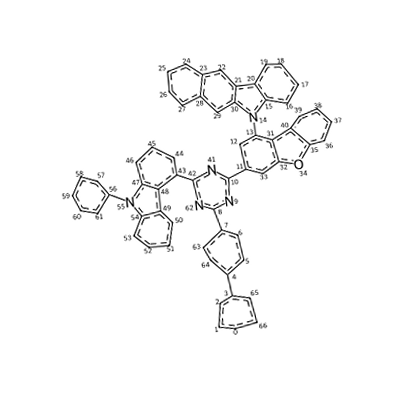 c1ccc(-c2ccc(-c3nc(-c4cc(-n5c6ccccc6c6cc7ccccc7cc65)c5c(c4)oc4ccccc45)nc(-c4cccc5c4c4ccccc4n5-c4ccccc4)n3)cc2)cc1